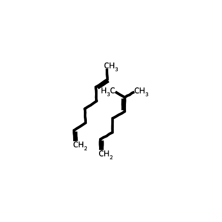 C=CCCC=C(C)C.C=CCCCC=CC